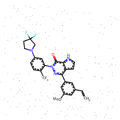 C=Cc1cc(OC)cc(-c2nn(-c3cc(N4CCC(F)(F)C4)ccc3C(F)(F)F)c(=O)c3[nH]ccc23)c1